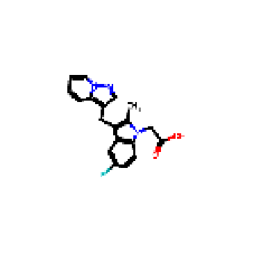 Cc1c(Cc2cnn3ccccc23)c2cc(F)ccc2n1CC(=O)O